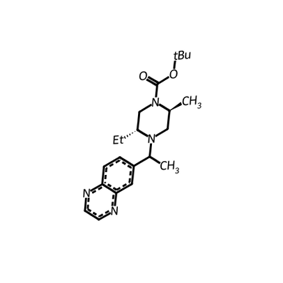 CC[C@@H]1CN(C(=O)OC(C)(C)C)[C@@H](C)CN1C(C)c1ccc2nccnc2c1